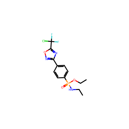 CCNP(=O)(OCC)c1ccc(-c2noc(C(F)(F)Cl)n2)cc1